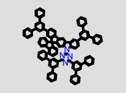 c1ccc(-c2cc(-c3ccccc3)cc(-c3ccc4c(c3)C3(c5ccccc5-c5ccccc53)c3cc5c(cc3-4)c3cc(-c4cc(-c6ccccc6)cc(-c6ccccc6)c4)ccc3n5-c3nc(-c4cc(-c5ccccc5)cc(-c5ccccc5)c4)nc(-c4cc(-c5ccccc5)cc(-c5ccccc5)c4)n3)c2)cc1